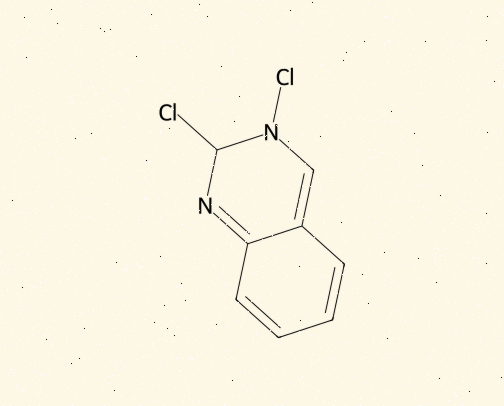 ClC1N=c2ccccc2=CN1Cl